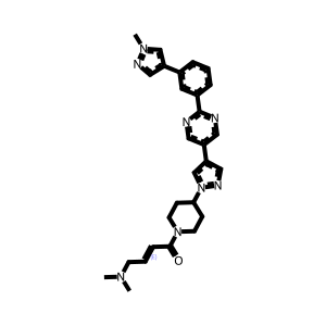 CN(C)C/C=C/C(=O)N1CCC(n2cc(-c3cnc(-c4cccc(-c5cnn(C)c5)c4)nc3)cn2)CC1